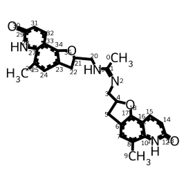 CC(=NCC1Cc2cc(C)c3[nH]c(=O)ccc3c2O1)NCC1Cc2cc(C)c3[nH]c(=O)ccc3c2O1